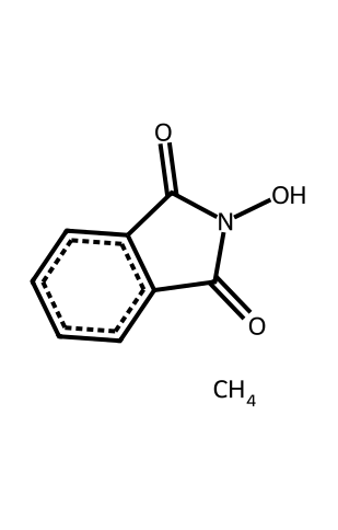 C.O=C1c2ccccc2C(=O)N1O